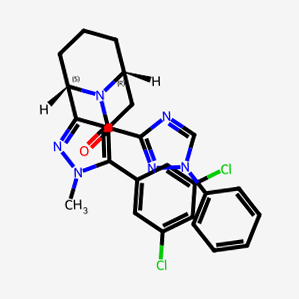 Cn1nc2c(c1-c1cc(Cl)cc(Cl)c1)C[C@H]1CCC[C@@H]2N1C(=O)c1ncn(-c2ccccc2)n1